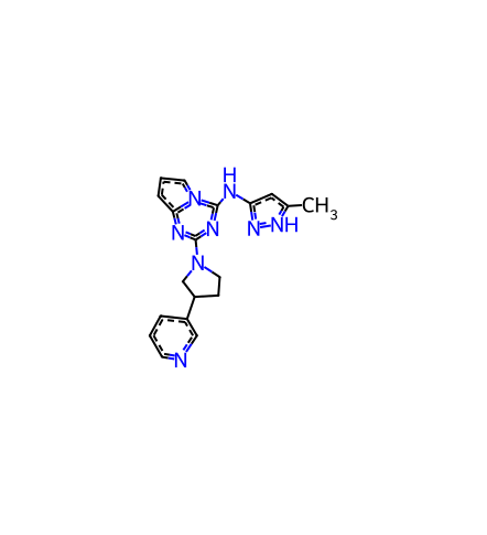 Cc1cc(Nc2nc(N3CCC(c4cccnc4)C3)nc3cccn23)n[nH]1